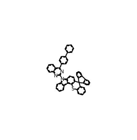 c1ccc(-c2ccc(-c3nc(-n4c5ccccc5c5c6c(ccc54)C4(c5ccccc5S6)c5ccccc5-c5ccccc54)nc4ccccc34)cc2)cc1